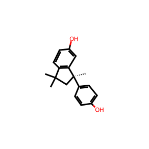 CC1(C)C[C@](C)(c2ccc(O)cc2)c2cc(O)ccc21